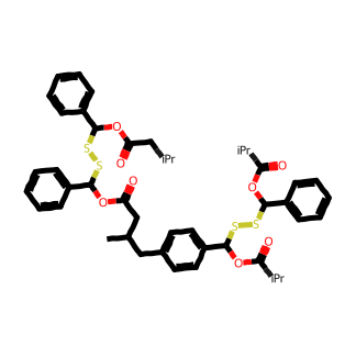 CC(C)CC(=O)OC(SSC(OC(=O)CC(C)Cc1ccc(C(OC(=O)C(C)C)SSC(OC(=O)C(C)C)c2ccccc2)cc1)c1ccccc1)c1ccccc1